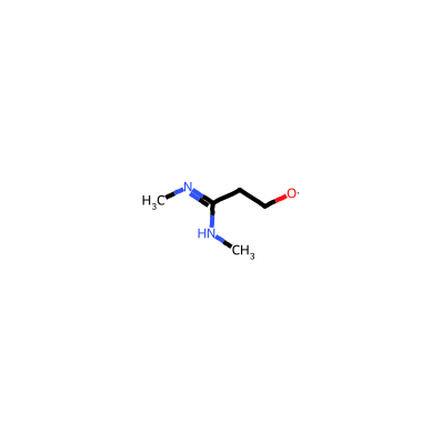 CN=C(CC[O])NC